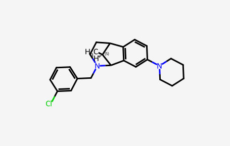 C[C@H]1C2CCN(Cc3cccc(Cl)c3)C1c1cc(N3CCCCC3)ccc12